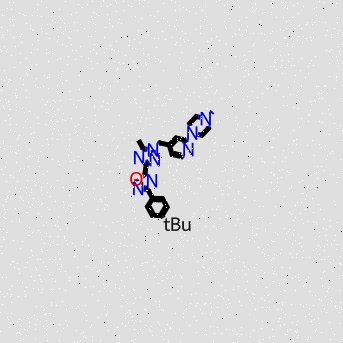 Cc1nc(-c2nc(-c3ccc(C(C)(C)C)cc3)no2)nn1Cc1ccnc(N2CCN(C)CC2)c1